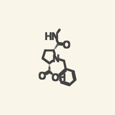 CNC(=O)[C@H]1CC[C@@H](C(=O)O)N1Cc1ccccc1